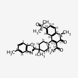 Cc1ccc2oc(C3(C)CCN(c4c(C(N)=O)c(=O)n(C)c5ccc(P(C)(C)=O)cc45)CC3)nc2c1